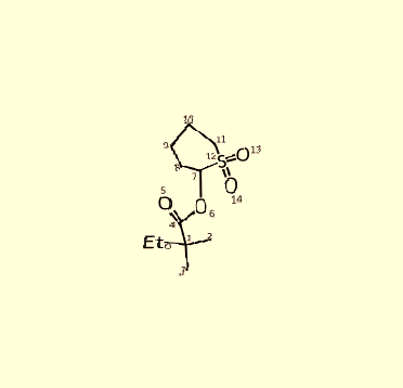 CCC(C)(C)C(=O)OC1CCCCS1(=O)=O